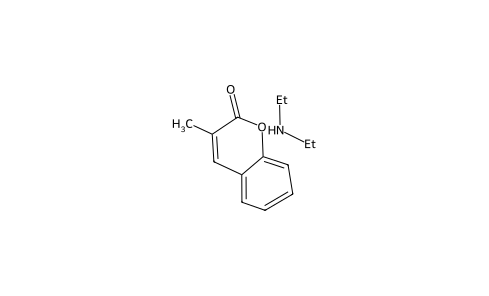 CCNCC.Cc1cc2ccccc2oc1=O